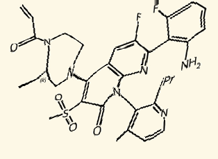 C=CC(=O)N1CCN(c2c(S(C)(=O)=O)c(=O)n(-c3c(C)ccnc3C(C)C)c3nc(-c4c(N)cccc4F)c(F)cc23)C[C@H]1C